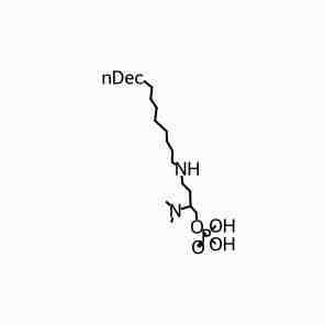 CCCCCCCCCCCCCCCCCCNCCC(COP(=O)(O)O)N(C)C